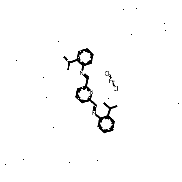 CC(C)c1ccccc1N=Cc1cccc(C=Nc2ccccc2C(C)C)n1.[Cl][Fe][Cl]